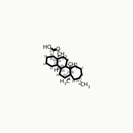 C[C@H]1CCC[C@]2(C)C3CC[C@@]4(C)C(CCC[C@@H]4C(=O)O)[C@@H]3CC[C@]2(C)C1